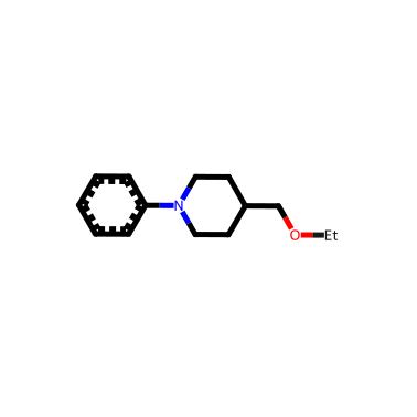 CCOCC1CCN(c2ccccc2)CC1